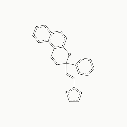 C(=CC1(c2ccccc2)C=Cc2c(ccc3ccccc23)O1)c1cccs1